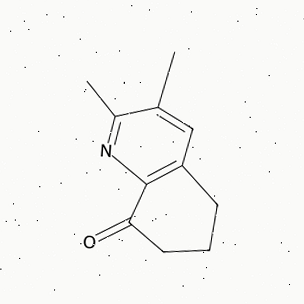 Cc1cc2c(nc1C)C(=O)CCC2